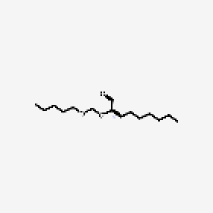 CCCCCC/C=C(\C=O)OCOCCCCC